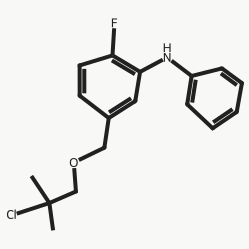 CC(C)(Cl)COCc1ccc(F)c(Nc2ccccc2)c1